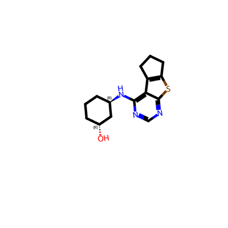 O[C@@H]1CCC[C@@H](Nc2ncnc3sc4c(c23)CCC4)C1